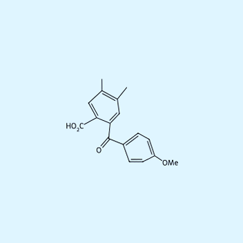 COc1ccc(C(=O)c2cc(C)c(C)cc2C(=O)O)cc1